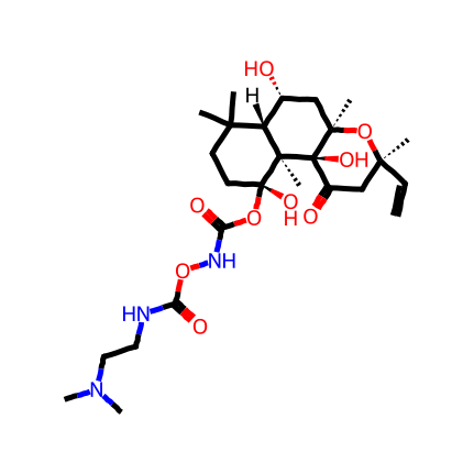 C=C[C@@]1(C)CC(=O)[C@]2(O)[C@]3(C)[C@@H]([C@H](O)C[C@@]2(C)O1)C(C)(C)CC[C@@]3(O)OC(=O)NOC(=O)NCCN(C)C